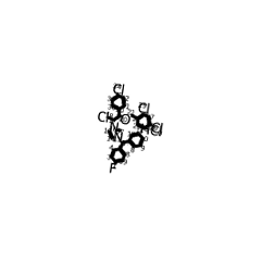 Cl.Fc1ccc(C(c2ccccc2)N2C=CN(C(Cl)C(OCc3ccc(Cl)cc3Cl)c3ccc(Cl)cc3)C2)cc1